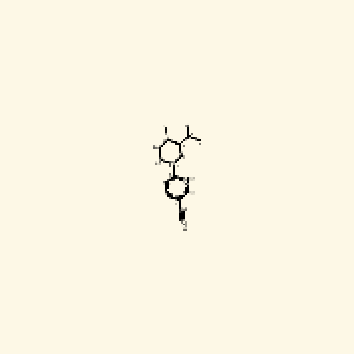 CC(C)[C@H]1CN(c2ccc(C#N)cn2)CC[C@H]1C